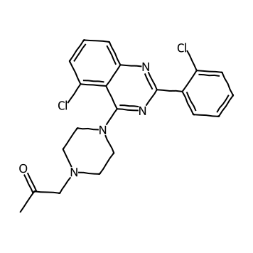 CC(=O)CN1CCN(c2nc(-c3ccccc3Cl)nc3cccc(Cl)c23)CC1